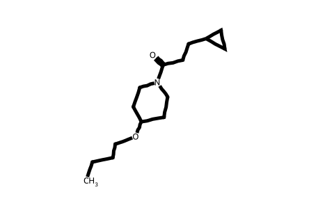 CCCCOC1CCN(C(=O)CCC2CC2)CC1